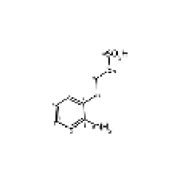 Nc1ccccc1CCSS(=O)(=O)O